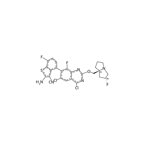 N#Cc1c(N)sc2c(F)ccc(-c3c(Cl)cc4c(Cl)nc(OC[C@@]56CCCN5C[C@H](F)C6)nc4c3F)c12